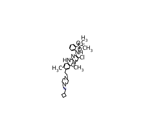 COc1cc(CCN2CCN(/C=C/C3CCC3)CC2)c(C)cc1Nc1ncc(Cl)c(Nc2ccccc2S(=O)(=O)C(C)C)n1